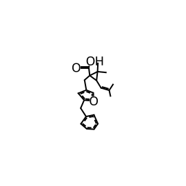 CC(C)=CC1C(C)(C)C1(Cc1coc(Cc2ccccc2)c1)C(=O)O